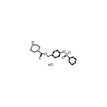 Cl.O=S(=O)(Oc1ccc(COC(=S)N2CCNCC2)cc1)c1ccccc1